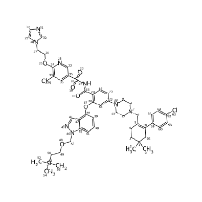 CC1(C)CCC(CN2CCN(c3ccc(C(=O)NS(=O)(=O)c4cnc(OCCn5ccnc5)c(Cl)c4)c(Oc4cccc5c4cnn5COCC[Si](C)(C)C)c3)CC2)=C(c2ccc(Cl)cc2)C1